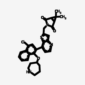 CC1(C)C2C(=O)N(Cc3cc4nccc(-c5cc(Cl)c6ccccc6c5OC5CCCNCC5)c4s3)C(=O)C21